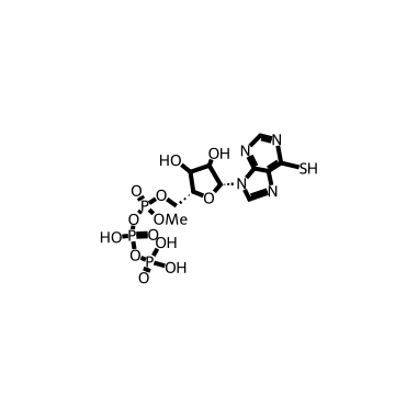 COP(=O)(OC[C@H]1O[C@@H](n2cnc3c(S)ncnc32)C(O)C1O)OP(=O)(O)OP(=O)(O)O